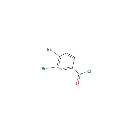 CCc1ccc(C(=O)Cl)cc1Br